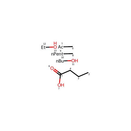 CC(C)=O.CCCC(=O)O.CCCCCC.CCCCO.CCO